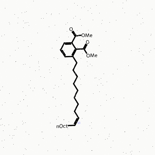 CCCCCCCC/C=C\CCCCCCCCc1cccc(C(=O)OC)c1C(=O)OC